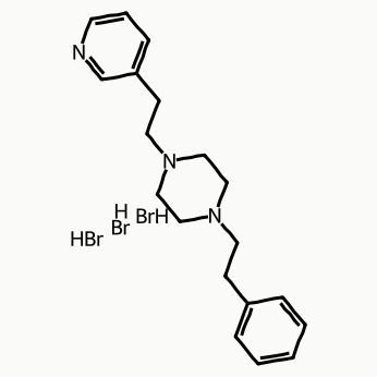 Br.Br.Br.c1ccc(CCN2CCN(CCc3cccnc3)CC2)cc1